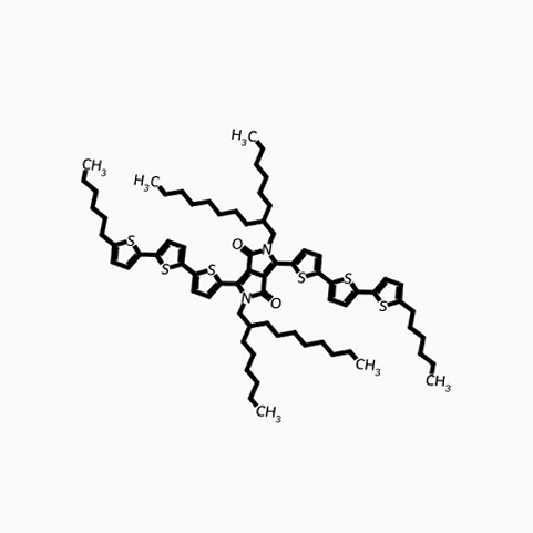 CCCCCCCCC(CCCCCC)CN1C(=O)C2=C(c3ccc(-c4ccc(-c5ccc(CCCCCC)s5)s4)s3)N(CC(CCCCCC)CCCCCCCC)C(=O)C2=C1c1ccc(-c2ccc(-c3ccc(CCCCCC)s3)s2)s1